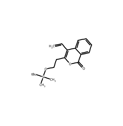 C=Cc1c(CCO[Si](C)(C)C(C)(C)C)oc(=O)c2ccccc12